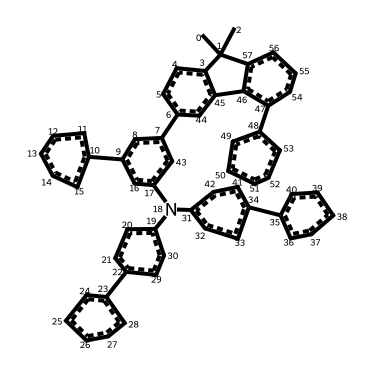 CC1(C)c2ccc(-c3cc(-c4ccccc4)cc(N(c4ccc(-c5ccccc5)cc4)c4ccc(-c5ccccc5)cc4)c3)cc2-c2c(-c3ccccc3)cccc21